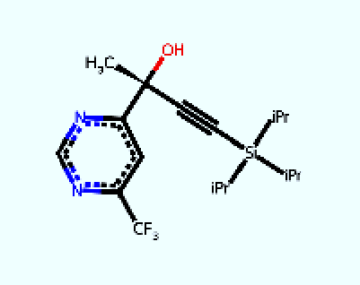 CC(C)[Si](C#C[C@@](C)(O)c1cc(C(F)(F)F)ncn1)(C(C)C)C(C)C